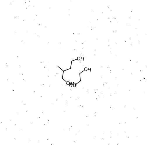 COCC(C)CCO.OCCO